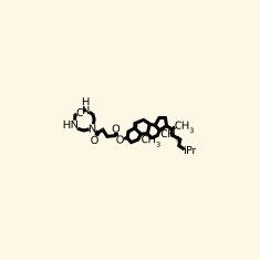 CC(C)CCCC(C)C1CCC2C3CC=C4CC(OC(=O)CCC(=O)N5CCNCCNCC5)CCC4(C)C3CCC12C